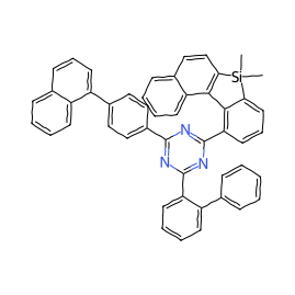 C[Si]1(C)c2cccc(-c3nc(-c4ccc(-c5cccc6ccccc56)cc4)nc(-c4ccccc4-c4ccccc4)n3)c2-c2c1ccc1ccccc21